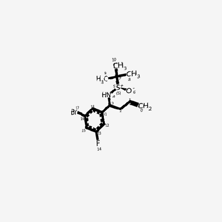 C=CCC(N[S@+]([O-])C(C)(C)C)c1cc(F)cc(Br)c1